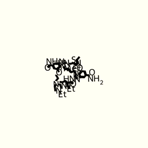 CCc1nc(C)sc1CNc1nc2cc(C(N)=O)cc(OCCCN3CCN(CC)CC3)c2n1C/C=C/Cn1c(NC(=O)c2cc(C)nn2CC)nc2cc(C(N)=O)cc(OC)c21